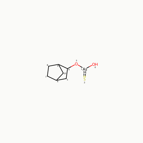 O[AsH](=S)OC1CC2CCC1C2